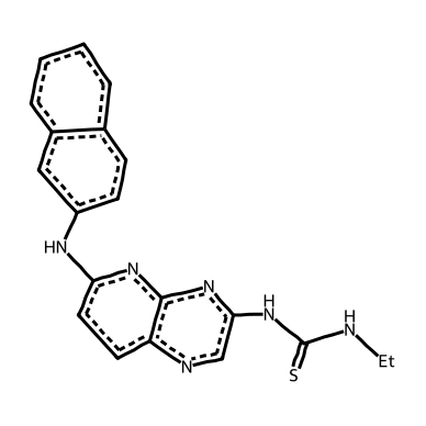 CCNC(=S)Nc1cnc2ccc(Nc3ccc4ccccc4c3)nc2n1